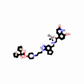 CC(C)(C)[Si](C)(C)OC(CNCc1cc2nnn(CCCN3CCC(OC(=O)C(O)(c4cccs4)c4cccs4)CC3)c2c2c1CCC2)c1ccc(O)c2[nH]c(=O)ccc12